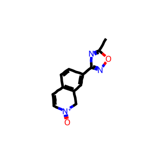 Cc1nc(-c2ccc3c(c2)C[N+](=O)C=C3)no1